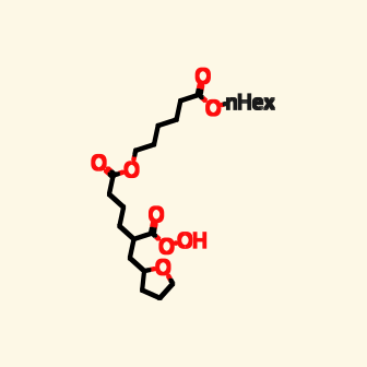 CCCCCCOC(=O)CCCCCOC(=O)CCCC(CC1CCCO1)C(=O)OO